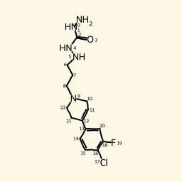 NNC(=O)NNCCCN1CC=C(c2ccc(Cl)c(F)c2)CC1